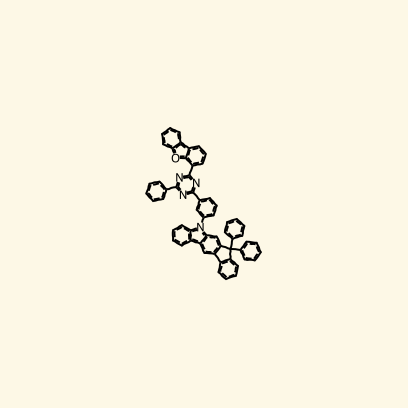 c1ccc(-c2nc(-c3cccc(-n4c5ccccc5c5cc6c(cc54)C(c4ccccc4)(c4ccccc4)c4ccccc4-6)c3)nc(-c3cccc4c3oc3ccccc34)n2)cc1